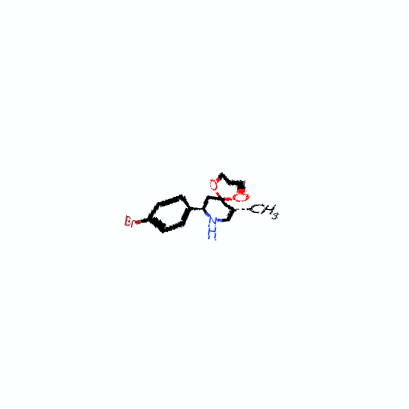 C[C@@H]1CN[C@@H](c2ccc(Br)cc2)CC12OCCO2